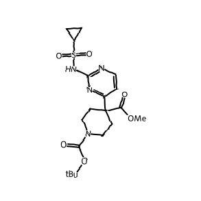 COC(=O)C1(c2ccnc(NS(=O)(=O)C3CC3)n2)CCN(C(=O)OC(C)(C)C)CC1